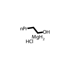 CCCCCO.Cl.[MgH2]